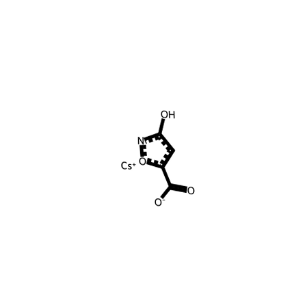 O=C([O-])c1cc(O)no1.[Cs+]